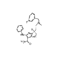 CCC(CC#N)(CCN(C)Cc1cccc(F)c1)n1cc(C(N)=O)c(Nc2ccccc2)n1